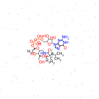 CC(C)B(F)C(C)(C)C(=O)NCC(O[C@@H](C)OP(=O)(O)OP(=O)(O)OCC1OC(n2cnc3c(=O)[nH]c(N)nc32)C(O)C1O)C(O)[C@H](O)CO